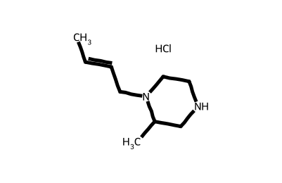 CC=CCN1CCNCC1C.Cl